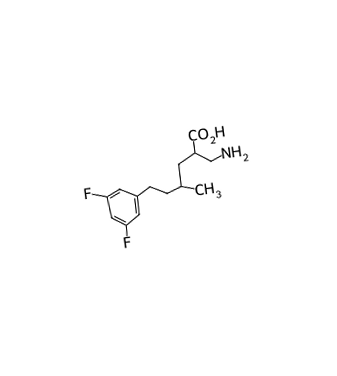 CC(CCc1cc(F)cc(F)c1)CC(CN)C(=O)O